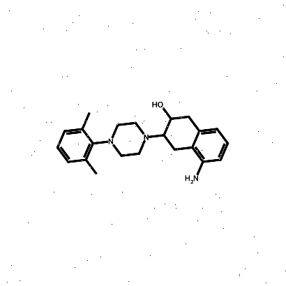 Cc1cccc(C)c1N1CCN(C2Cc3c(N)cccc3CC2O)CC1